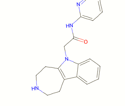 O=C(Cn1c2c(c3ccccc31)CCNCC2)Nc1ccccn1